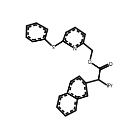 CC(C)C(C(=O)OCc1cccc(Sc2ccccc2)n1)c1ccc2ccccc2c1